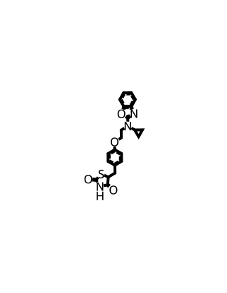 O=C1NC(=O)C(Cc2ccc(OCCN(c3nc4ccccc4o3)C3CC3)cc2)S1